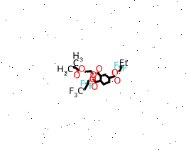 C=C(C)C(=O)OCCOC(=O)C1CC(C(=O)OCC(F)(F)CC)CCC1C(=O)OCC(F)(F)CC(F)(F)F